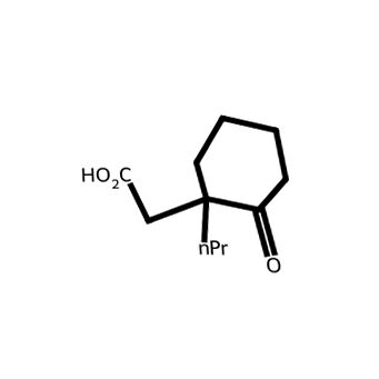 CCCC1(CC(=O)O)CCCCC1=O